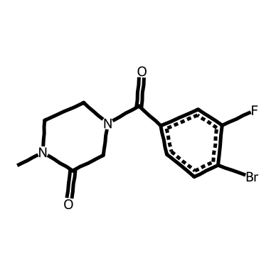 CN1CCN(C(=O)c2ccc(Br)c(F)c2)CC1=O